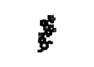 CCN1CCN(CC)c2cc(Nc3ncc(Cl)c(N[C@@H]4[C@H]5C=CC(C5)[C@@H]4C(N)=O)n3)ccc2C1